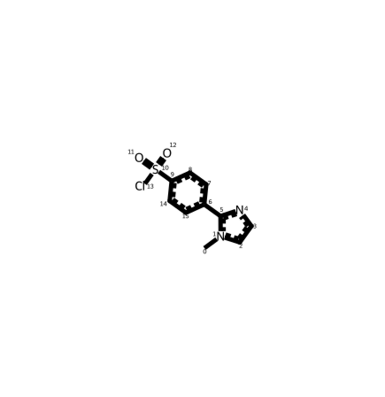 Cn1ccnc1-c1ccc(S(=O)(=O)Cl)cc1